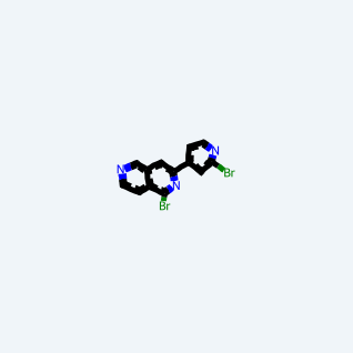 Brc1cc(-c2cc3cnccc3c(Br)n2)ccn1